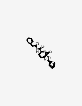 N=C(NC(=O)CC1CCCCC1)[C@@H]1CC[C@@H]2CN1C(=O)N2OCc1ccccc1